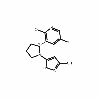 Oc1cc(N2CCC[C@@H]2c2cc(F)cnc2Cl)[nH]n1